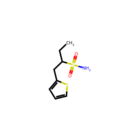 CCC(Cc1cccs1)S(N)(=O)=O